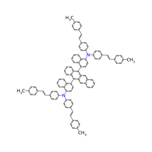 Cc1ccc(C=Cc2ccc(N(c3ccc(C=Cc4ccc(C)cc4)cc3)c3ccc(-c4c5ccccc5c(-c5ccc(N(c6ccc(C=Cc7ccc(C)cc7)cc6)c6ccc(C=Cc7ccc(C)cc7)cc6)c6ccccc56)c5cc6ccccc6cc45)c4ccccc34)cc2)cc1